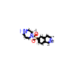 C[C@H]1CNCCCN1S(=O)(=O)c1ccc2cnccc2c1